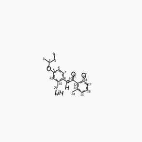 CCC(C)Oc1ccc(PC(=O)c2c(C)cccc2Cl)c(C)c1.[LiH]